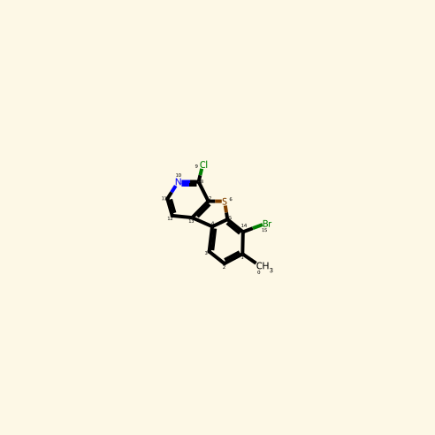 Cc1ccc2c(sc3c(Cl)nccc32)c1Br